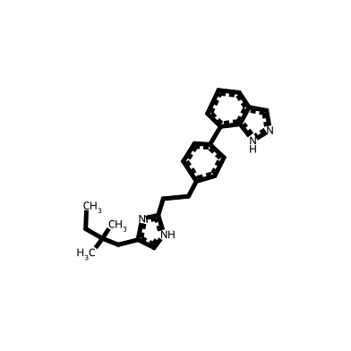 CCC(C)(C)Cc1c[nH]c(CCc2ccc(-c3cccc4cn[nH]c34)cc2)n1